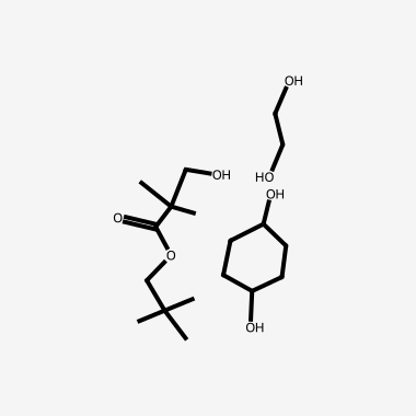 CC(C)(C)COC(=O)C(C)(C)CO.OC1CCC(O)CC1.OCCO